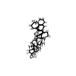 C[C@]12CC[C@]3(C[C@@H]1CC[C@@H]1[C@@H]2CC[C@]2(C)[C@@H](O)CC[C@@H]12)NCCc1c3c(=O)oc2c3c4c(cc12)CCCN4CCC3